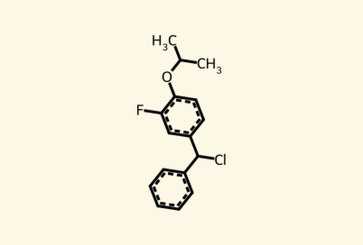 CC(C)Oc1ccc(C(Cl)c2ccccc2)cc1F